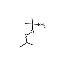 BC(C)(C)OSC(C)C